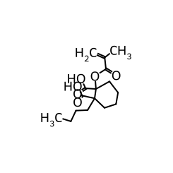 C=C(C)C(=O)OC1(C(=O)O)CCCCC1(CCCC)C(=O)O